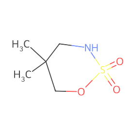 CC1(C)CNS(=O)(=O)OC1